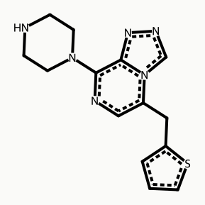 c1csc(Cc2cnc(N3CCNCC3)c3nncn23)c1